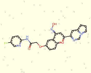 O=C(COc1ccc2oc(-c3cc4cccn4cn3)c/c(=N\O)c2c1)Nc1ccc(F)cn1